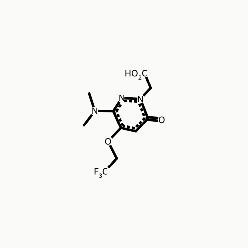 CN(C)c1nn(CC(=O)O)c(=O)cc1OCC(F)(F)F